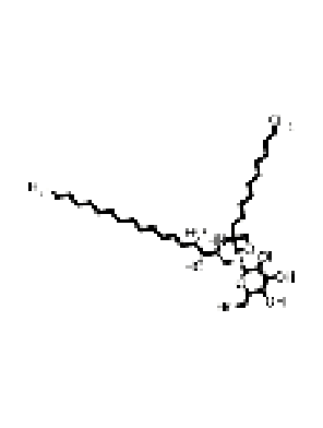 CCCCCCCCCCCCCC[C@@H](O)[C@@H](O)[C@H](COC1OC(CO)C(O)C(O)C1O)NC1(CCCCCCCCCCC)COC1